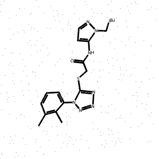 CCC(C)Cn1nccc1NC(=O)CSc1nnnn1-c1cccc(C)c1C